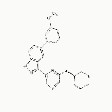 FC(F)(F)Oc1cccc(-c2ccc3[nH]nc(-c4cncc(O[C@@H]5CCCNC5)n4)c3c2)c1